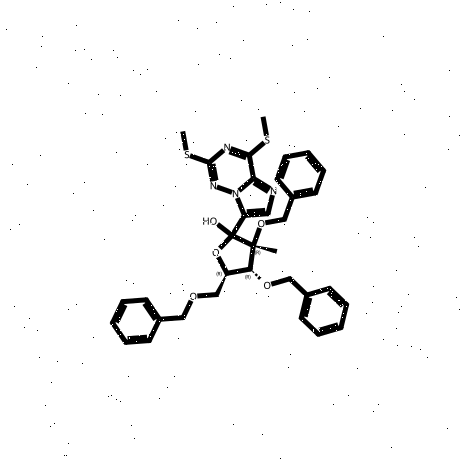 CSc1nc(SC)c2ncc(C3(O)O[C@H](COCc4ccccc4)[C@@H](OCc4ccccc4)[C@@]3(C)OCc3ccccc3)n2n1